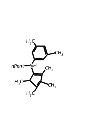 CCCCC[SiH](C1=C(C)C(C)=C(C)C1C)c1cc(C)cc(C)c1